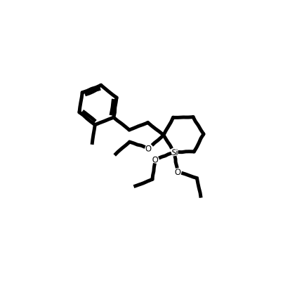 CCOC1(CCc2ccccc2C)CCCC[Si]1(OCC)OCC